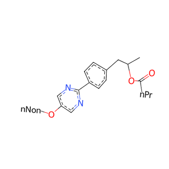 CCCCCCCCCOc1cnc(-c2ccc(CC(C)OC(=O)CCC)cc2)nc1